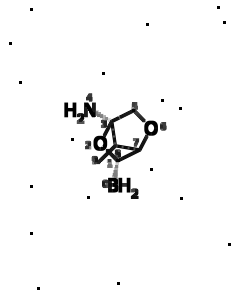 B[C@@H]1O[C@@]2(N)COC1C2C